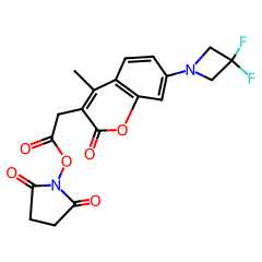 Cc1c(CC(=O)ON2C(=O)CCC2=O)c(=O)oc2cc(N3CC(F)(F)C3)ccc12